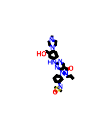 C=CCn1c(=O)c2cnc(Nc3ccc(N4CCN(C)CC4)c(CO)c3)nc2n1-c1cccc(N=S(C)(C)=O)c1